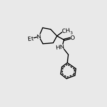 CCN1CCC(C)(C(=O)NCc2ccccc2)CC1